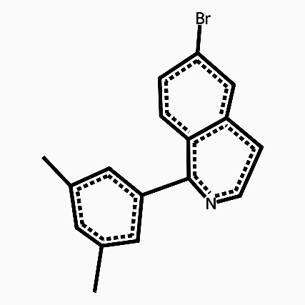 Cc1cc(C)cc(-c2nccc3cc(Br)ccc23)c1